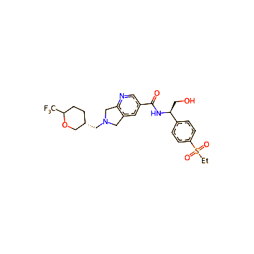 CCS(=O)(=O)c1ccc([C@H](CO)NC(=O)c2cnc3c(c2)CN(C[C@H]2CCC(C(F)(F)F)OC2)C3)cc1